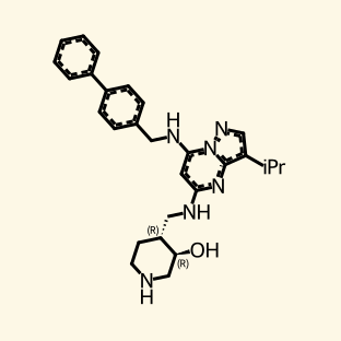 CC(C)c1cnn2c(NCc3ccc(-c4ccccc4)cc3)cc(NC[C@H]3CCNC[C@@H]3O)nc12